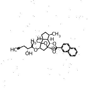 C#CC[C@@H](O)C(=O)O[C@@H]1C[C@]2(C(C)C)O[C@@]1(C)[C@@H]1CC[C@@H](C)[C@H]1[C@@H]2OC(=O)c1ccc2ccccc2c1